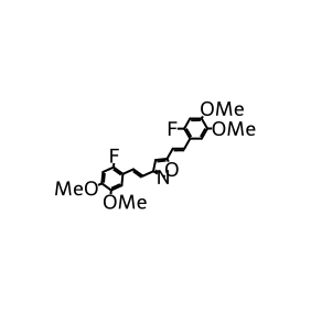 COc1cc(F)c(C=Cc2cc(C=Cc3cc(OC)c(OC)cc3F)on2)cc1OC